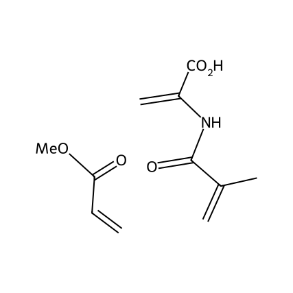 C=C(C)C(=O)NC(=C)C(=O)O.C=CC(=O)OC